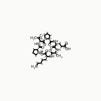 CC(C)[C@H](NC(=O)[C@@H]1CCCN1)C(=O)N1CCC[C@H]1C(=O)N[C@@H](CCC(=O)O)C(=O)N[C@@H](C)C(=O)N[C@@H](CCCCN)C(=O)O